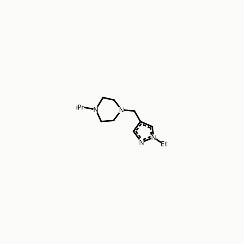 CCn1cc(CN2CCN(C(C)C)CC2)cn1